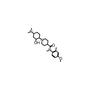 COc1ccc(N(C)C(=O)C2CCN(C3CCC(N(C)C)CC3O)CC2)c(C)c1